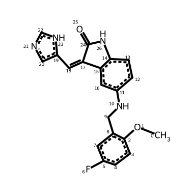 COc1ccc(F)cc1CNc1ccc2c(c1)C(=Cc1cnc[nH]1)C(=O)N2